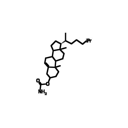 CC(C)CCCC(C)[C@H]1CCC2C3CC=C4CC(OC(N)=O)CCC4(C)C3CCC21C